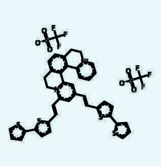 C(=C\c1ccc(-c2cccs2)s1)/c1cc(/C=C/c2ccc(-c3cccs3)s2)[n+]2c(c1)-c1c(ccc3c1-c1cccc[n+]1CC3)CC2.O=S(=O)([O-])C(F)(F)F.O=S(=O)([O-])C(F)(F)F